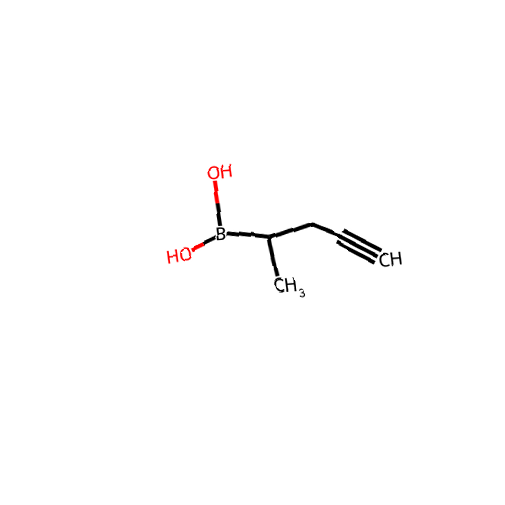 C#CCC(C)B(O)O